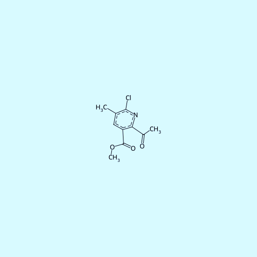 COC(=O)c1cc(C)c(Cl)nc1C(C)=O